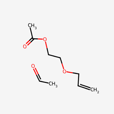 C=CCOCCOC(C)=O.CC=O